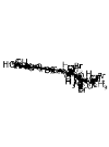 CC(C)(CCBr)C(=O)NCCC(C)(CCBr)C(=O)NCCC(C)(CCBr)C(=O)NCCCOCCOCCOCCOCCOCC(O)CO